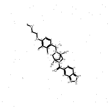 COCCOc1ccc([C@H](C)N2C[C@@H]3C[C@H]2CN3C(=O)c2ccc3nonc3c2)c(C)c1C